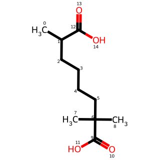 CC(CCCCC(C)(C)C(=O)O)C(=O)O